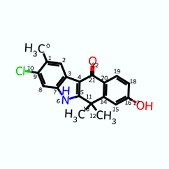 Cc1cc2c3c([nH]c2cc1Cl)C(C)(C)c1cc(O)ccc1C3=O